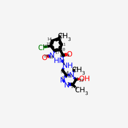 CC1=NN=C(CNNC(=O)c2cc(C)cc(Cl)c2N=O)N(C)C1O